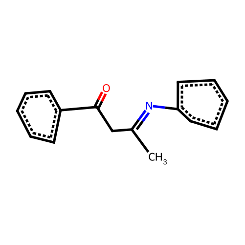 CC(CC(=O)c1ccccc1)=Nc1ccccc1